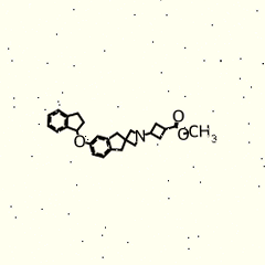 COC(=O)C1CC(N2CC3(Cc4ccc(OC5CCc6ccccc65)cc4C3)C2)C1